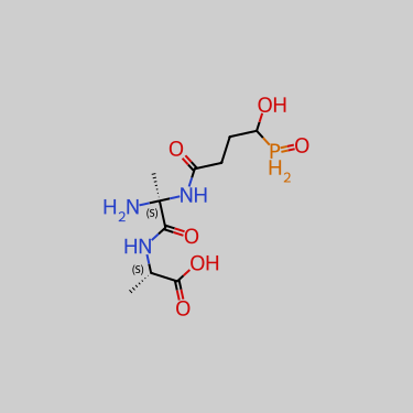 C[C@H](NC(=O)[C@@](C)(N)NC(=O)CCC(O)[PH2]=O)C(=O)O